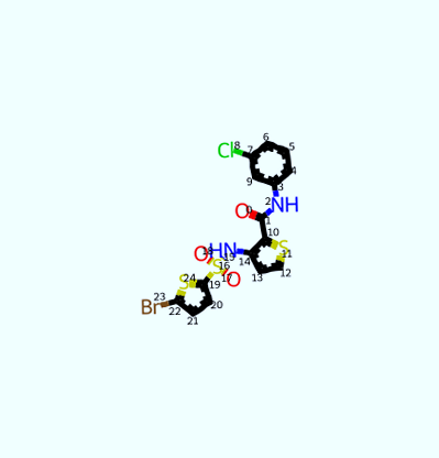 O=C(Nc1cccc(Cl)c1)c1sccc1NS(=O)(=O)c1ccc(Br)s1